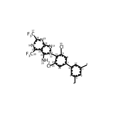 Cc1cc(C)cc(-c2cc(Cl)c(-n3nc4nc(C(F)(F)F)nc(C(F)(F)F)c4c3N)c(Cl)c2)c1